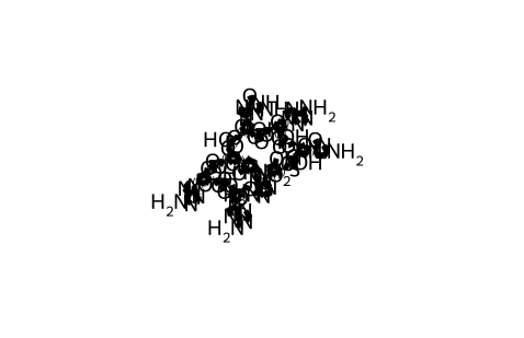 Nc1ccn([C@H]2CC(OP(=O)(O)OC[C@H]3O[C@@H](n4cnc5c(=O)[nH]c(N)nc54)CC3OP(=O)(O)OC[C@H]3O[C@@H](n4cnc5c(N)ncnc54)C[C@H]3OP(=O)(O)OC[C@H]3O[C@@H](n4ccc(N)nc4=O)CC3OP(O)(=S)OC[C@H]3O[C@@H](n4cnc5c(N)ncnc54)CC3O)[C@@H](COP(=O)(O)OC3C[C@H](n4cnc5c(N)ncnc54)O[C@@H]3COP(=O)(O)OC3C[C@H](n4cnc5c(N)ncnc54)O[C@@H]3CO)O2)c(=O)n1